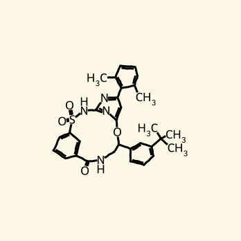 Cc1cccc(C)c1-c1cc2nc(n1)NS(=O)(=O)c1cccc(c1)C(=O)NCC(c1cccc(C(C)(C)C)c1)O2